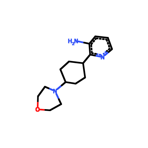 Nc1cccnc1C1CCC(N2CCOCC2)CC1